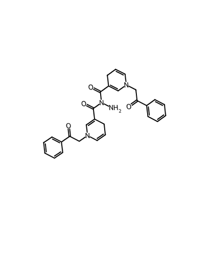 NN(C(=O)C1=CN(CC(=O)c2ccccc2)C=CC1)C(=O)C1=CN(CC(=O)c2ccccc2)C=CC1